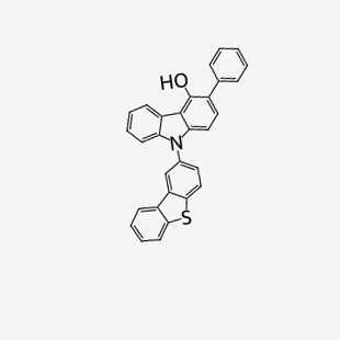 Oc1c(-c2ccccc2)ccc2c1c1ccccc1n2-c1ccc2sc3ccccc3c2c1